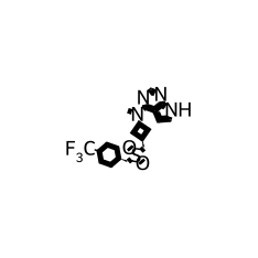 CN(c1ncnc2[nH]ccc12)[C@H]1C[C@@H](CS(=O)(=O)C[C@H]2CC[C@@H](C(F)(F)F)CC2)C1